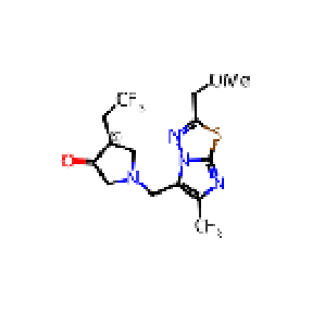 COCc1nn2c(CN3CC(=O)[C@@H](CC(F)(F)F)C3)c(C(F)(F)F)nc2s1